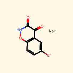 O=c1[nH]oc2ccc(Br)cc2c1=O.[NaH]